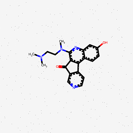 CN(C)CCN(C)c1nc2cc(O)ccc2c2c1C(=O)c1cnccc1-2